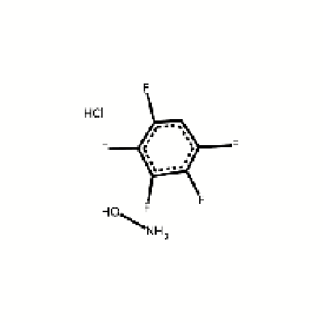 Cl.Fc1cc(F)c(F)c(F)c1F.NO